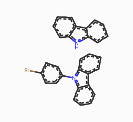 Brc1ccc(-n2c3ccccc3c3ccccc32)cc1.c1ccc2c(c1)[nH]c1ccccc12